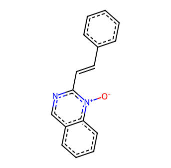 [O-][n+]1c(C=Cc2ccccc2)ncc2ccccc21